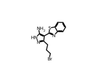 Nc1[nH]nc(CCCBr)c1-c1nc2ccccc2s1